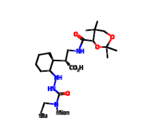 CCCCCCCCCN(CC(C)(C)C)C(=O)NNC1CCCC[C@H]1[C@@H](CNC(=O)C1OC(C)(C)OCC1(C)C)C(=O)O